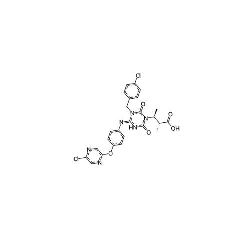 C[C@@H](C(=O)O)[C@H](C)n1c(=O)[nH]/c(=N\c2ccc(Oc3cnc(Cl)cn3)cc2)n(Cc2ccc(Cl)cc2)c1=O